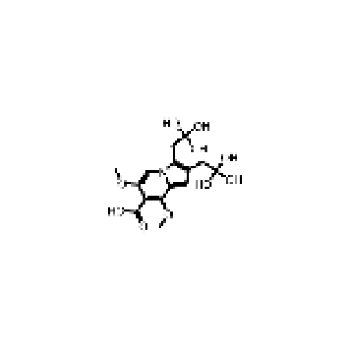 COc1cn2c(CC(O)(O)O)c(CC(O)(O)O)[c]c2c(OC)c1C(=O)O